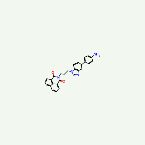 Nc1ccc(-c2ccc3c(c2)ncn3CCCN2C(=O)c3cccc4cccc(c34)C2=O)cc1